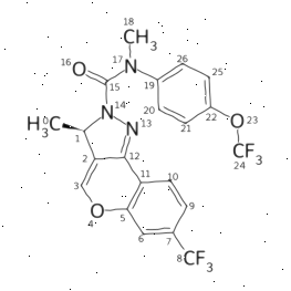 C[C@@H]1C2=COc3cc(C(F)(F)F)ccc3C2=NN1C(=O)N(C)c1ccc(OC(F)(F)F)cc1